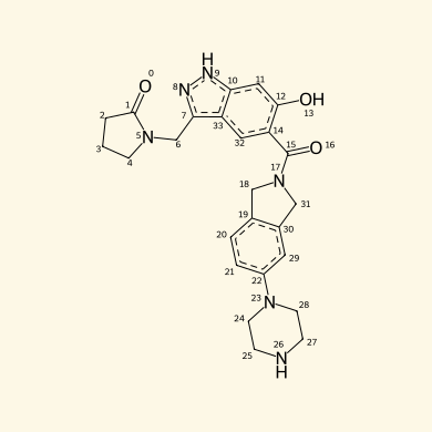 O=C1CCCN1Cc1n[nH]c2cc(O)c(C(=O)N3Cc4ccc(N5CCNCC5)cc4C3)cc12